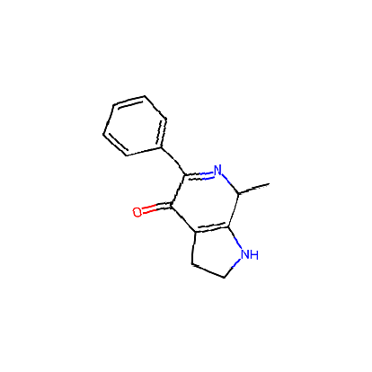 CC1N=C(c2ccccc2)C(=O)C2=C1NCC2